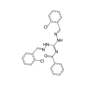 O=C(N=C(N/N=C/c1ccccc1Cl)N/N=C/c1ccccc1Cl)c1ccccc1